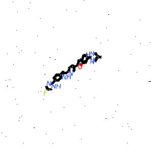 CC1CN=C(c2ccc3cc(-c4ccc(-c5cc6ccc(C7=NCC(F)CN7)cc6[nH]5)nc4)oc3c2)NC1